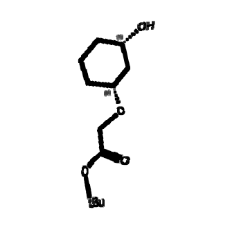 CC(C)(C)OC(=O)CO[C@@H]1CCC[C@H](O)C1